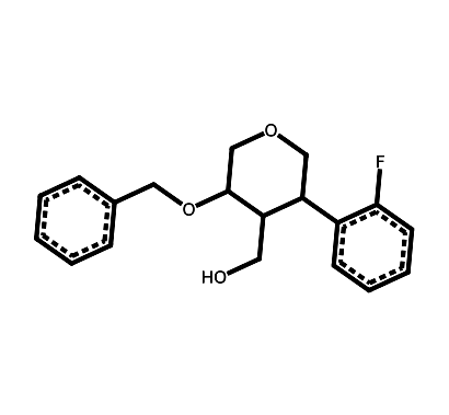 OCC1C(OCc2ccccc2)COCC1c1ccccc1F